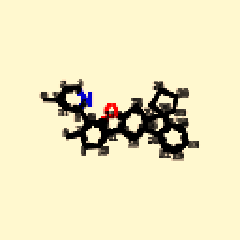 Cc1ccnc(-c2c(C)ccc3c2oc2cc4c(cc23)-c2ccccc2C42CCCC2)c1